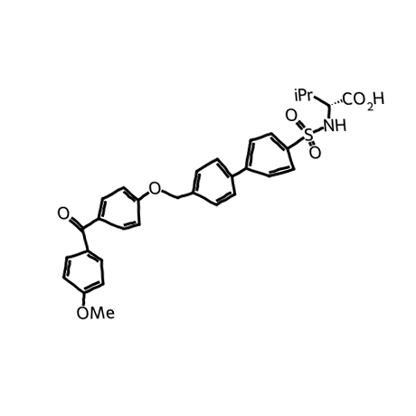 COc1ccc(C(=O)c2ccc(OCc3ccc(-c4ccc(S(=O)(=O)N[C@@H](C(=O)O)C(C)C)cc4)cc3)cc2)cc1